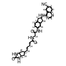 N#Cc1ccc2ncnc(NC3Cc4ccc(NC(=O)CNC(=O)CCCCC5CC6NC(=O)NC6S5)cc4C3)c2c1